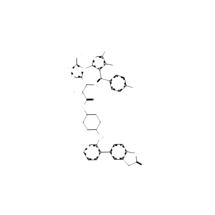 Cc1sc2c(c1C)C(c1ccc(Cl)cc1)=N[C@@H]([C@@H](I)C(=O)NC1CCC(Nc3ncccc3-c3ccc4c(c3)CC(=O)N4)CC1)c1nnc(C)n1-2